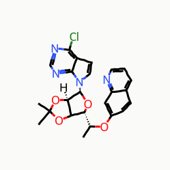 CC(Oc1ccc2cccnc2c1)[C@H]1O[C@@H](n2ccc3c(Cl)ncnc32)[C@@H]2OC(C)(C)OC12